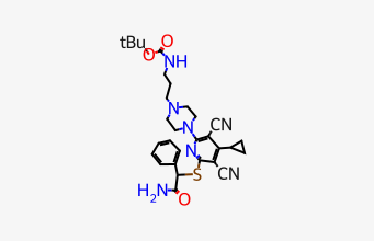 CC(C)(C)OC(=O)NCCCN1CCN(c2nc(SC(C(N)=O)c3ccccc3)c(C#N)c(C3CC3)c2C#N)CC1